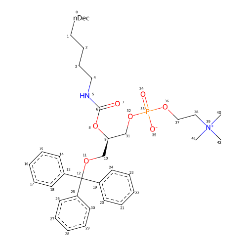 CCCCCCCCCCCCCCNC(=O)O[C@H](COC(c1ccccc1)(c1ccccc1)c1ccccc1)COP(=O)([O-])OCC[N+](C)(C)C